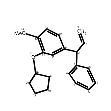 C=CC(c1ccccc1)c1ccc(OC)c(OC2CCCC2)c1